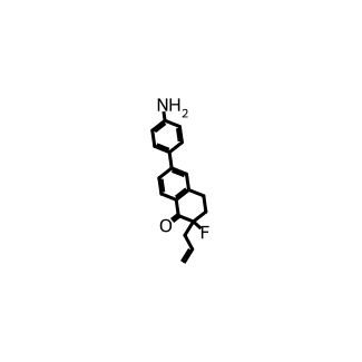 C=CCC1(F)CCc2cc(-c3ccc(N)cc3)ccc2C1=O